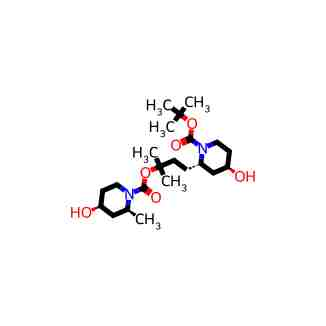 C[C@H]1C[C@@H](O)CCN1C(=O)OC(C)(C)CC[C@H]1C[C@H](O)CCN1C(=O)OC(C)(C)C